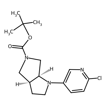 CC(C)(C)OC(=O)N1C[C@@H]2CCN(c3ccc(Cl)nc3)[C@@H]2C1